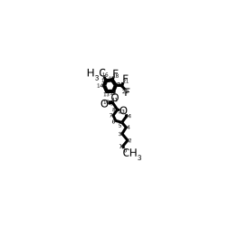 CCCCCC1CCC(C(=O)Oc2ccc(C)c(F)c2C(F)F)OC1